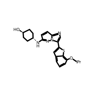 CC(C)Oc1cccc2cc(-c3cnc4ccc(N[C@H]5CC[C@H](O)CC5)nn34)sc12